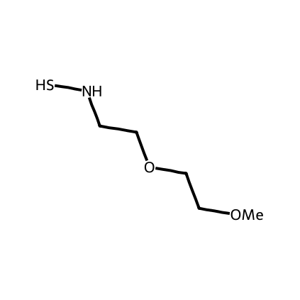 COCCOCCNS